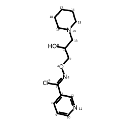 OC(CO/N=C(\Cl)c1cccnc1)CN1CCCCC1